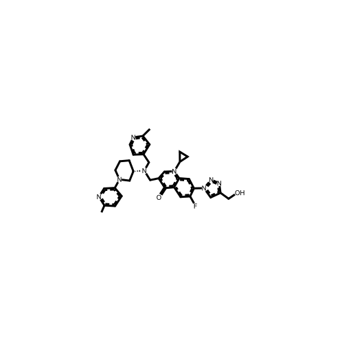 Cc1ccc(N2CCC[C@H](N(Cc3ccnc(C)c3)Cc3cn(C4CC4)c4cc(-n5cc(CO)nn5)c(F)cc4c3=O)C2)cn1